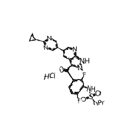 CCCS(=O)(=O)Nc1c(F)ccc(C(=O)c2n[nH]c3ncc(-c4cnc(C5CC5)nc4)cc23)c1F.Cl